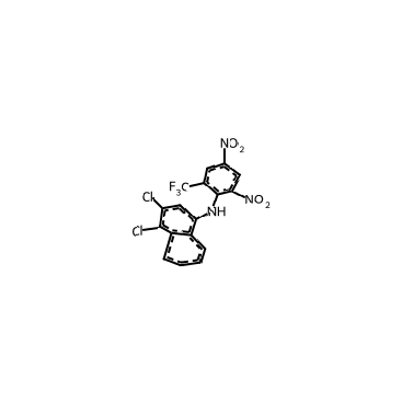 O=[N+]([O-])c1cc([N+](=O)[O-])c(Nc2cc(Cl)c(Cl)c3ccccc23)c(C(F)(F)F)c1